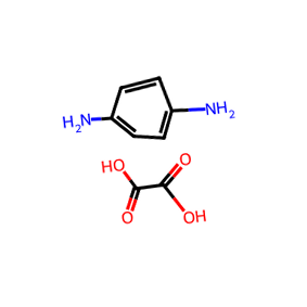 Nc1ccc(N)cc1.O=C(O)C(=O)O